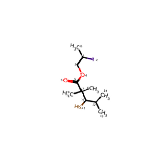 CC(I)COC(=O)C(C)(C)C(S)C(C)C